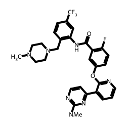 CNc1nccc(-c2cccnc2Oc2ccc(F)c(C(=O)Nc3cc(C(F)(F)F)ccc3CN3CCN(C)CC3)c2)n1